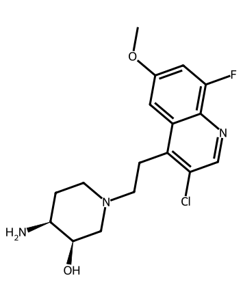 COc1cc(F)c2ncc(Cl)c(CCN3CC[C@H](N)[C@H](O)C3)c2c1